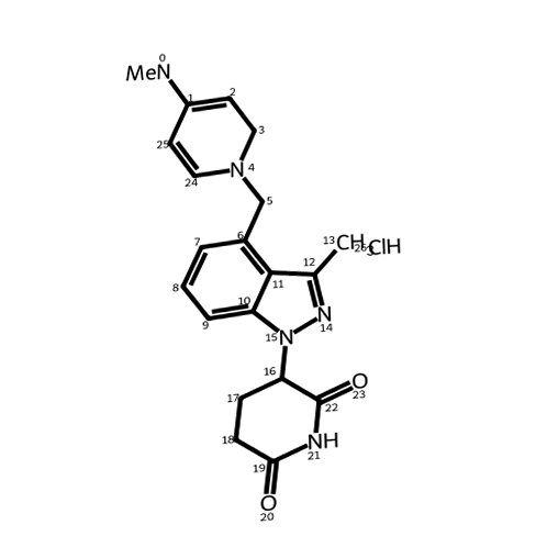 CNC1=CCN(Cc2cccc3c2c(C)nn3C2CCC(=O)NC2=O)C=C1.Cl